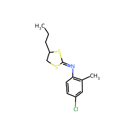 CCCC1CS/C(=N\c2ccc(Cl)cc2C)S1